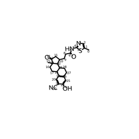 Cc1cnc(NC(=O)CCC2CC(=O)C3(C)CCC4c5cc(C#N)c(O)cc5CCC4C23)s1